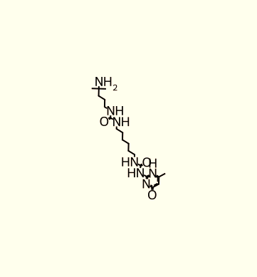 Cc1cc(=O)nc(NC(=O)NCCCCCCNC(=O)NCCCC(C)(C)N)[nH]1